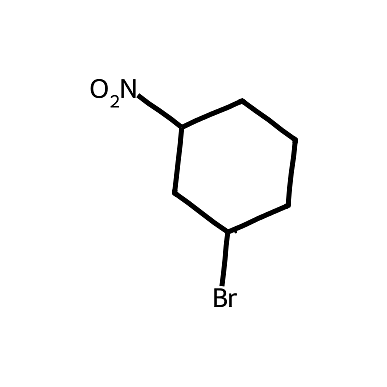 O=[N+]([O-])C1CCC[C](Br)C1